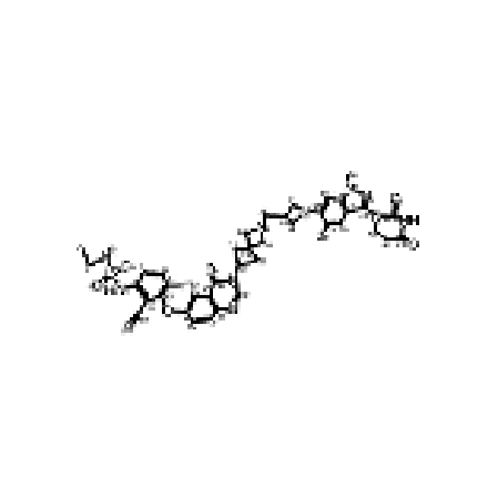 CCN(C)S(=O)(=O)Nc1ccc(F)c(Oc2ccc3ncn(C4CC5(C4)CN(CC4CN(c6cc7c(cc6F)c(N6CCC(=O)NC6=O)nn7C)C4)C5)c(=O)c3c2)c1C#N